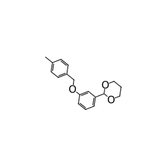 Cc1ccc(COc2cccc(C3OCCCO3)c2)cc1